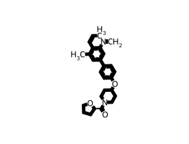 C=Nc1cc(-c2ccc(OC3CCN(C(=O)[C@H]4CCCO4)CC3)cc2)cc(C)c1/C=C\C